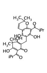 CC(C)C(=O)C1=C(O)C(C)(C)C(O)=C(Cc2c(O)c3c(c(C(=O)C(C)C)c2O)OC(C)(C)C=C3)C1=O